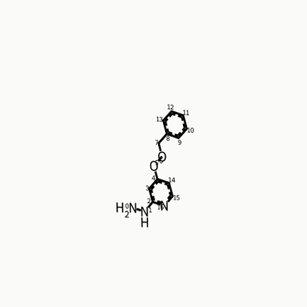 NNc1cc(OOCc2ccccc2)ccn1